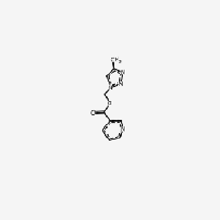 Cc1cn(COC(=O)c2cccnc2)nn1